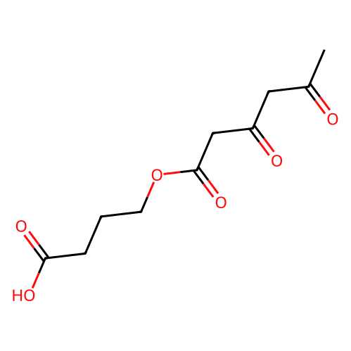 CC(=O)CC(=O)CC(=O)OCCCC(=O)O